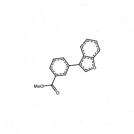 COC(=O)c1cccc(-c2coc3ccccc23)c1